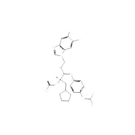 C[C@@](CC1CCCC1)(OC(N)=O)C(CCn1cnc2cc(Cl)c(Cl)cc21)Nc1ccc(OC(F)F)cc1